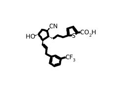 N#C[C@@H]1C[C@@H](O)[C@H](/C=C/Cc2cccc(C(F)(F)F)c2)[C@H]1CCCc1ccc(C(=O)O)s1